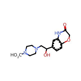 O=C1COc2ccc(C(O)CN3CCN(C(=O)O)CC3)cc2N1